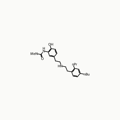 CCCCc1ccc(CCNCCc2ccc(O)c(NC(=O)NC)c2)c(CCC)c1